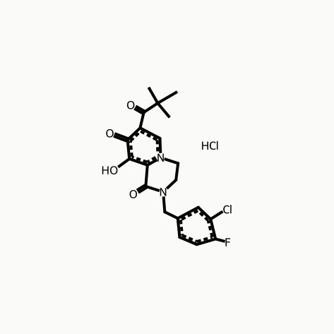 CC(C)(C)C(=O)c1cn2c(c(O)c1=O)C(=O)N(Cc1ccc(F)c(Cl)c1)CC2.Cl